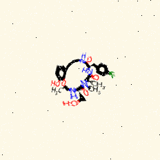 C[C@@H]1CN[C@@H](C2CC2O)C(=O)N(C)[C@H](C)C(=O)N[C@H](Cc2ccc(F)cc2)C(=O)NCCCc2cccc(O)c2O1